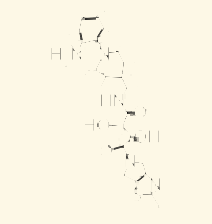 Cc1nc2c(s1)CN(C(=O)[C@H](O)[C@@H](O)C(=O)NCC1CCN(c3ccccc3N)CC1C)C2